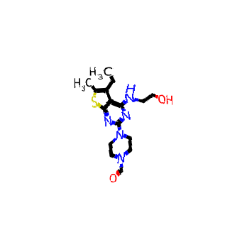 CCc1c(C)sc2nc(N3CCN(C=O)CC3)nc(NCCO)c12